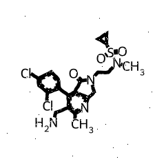 Cc1nc2c(c(-c3ccc(Cl)cc3Cl)c1CN)C(=O)N(CCN(C)S(=O)(=O)C1CC1)C2